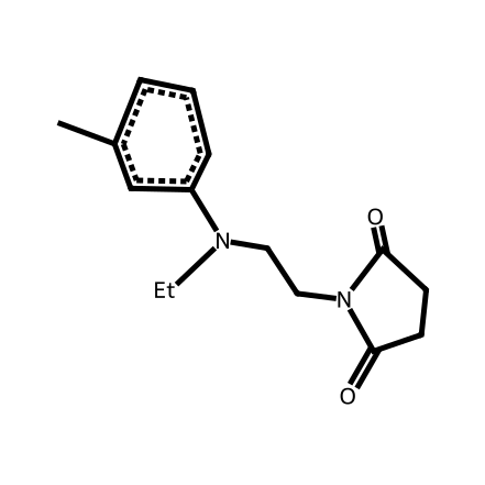 CCN(CCN1C(=O)CCC1=O)c1cccc(C)c1